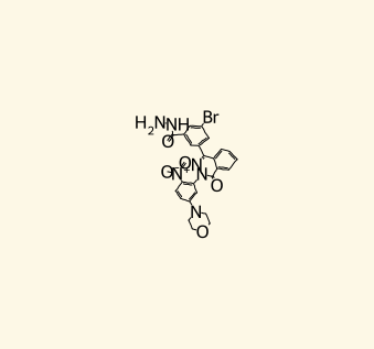 NNC(=O)c1cc(Br)cc(-c2nn(-c3cc(N4CCOCC4)ccc3[N+](=O)[O-])c(=O)c3ccccc23)c1